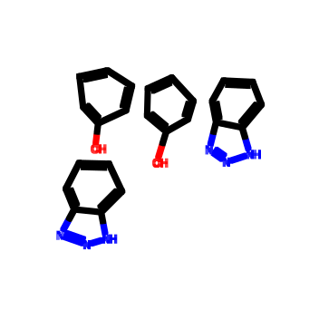 Oc1ccccc1.Oc1ccccc1.c1ccc2[nH]nnc2c1.c1ccc2[nH]nnc2c1